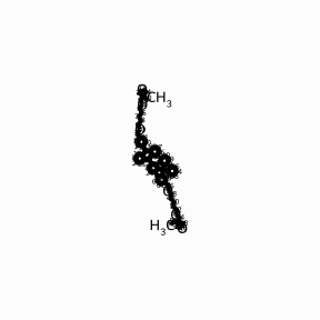 CCC1(COCCCCCOCc2ccc(-c3c4ccccc4c(-c4ccc5c(c4)C(c4ccccc4)(c4ccccc4)c4cc(COCCCCCOCC6(CC)COC6)ccc4-5)c4ccccc34)cc2)COC1